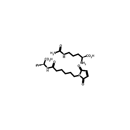 CC(C)[C@H](NC(=O)CCCCCN1C(=O)C=CC1=O)C(=O)O.NC(=O)NCCC[C@H](N)C(=O)O